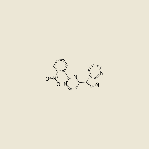 O=[N+]([O-])c1ccccc1-c1nccc(-c2cnc3n[c]ccn23)n1